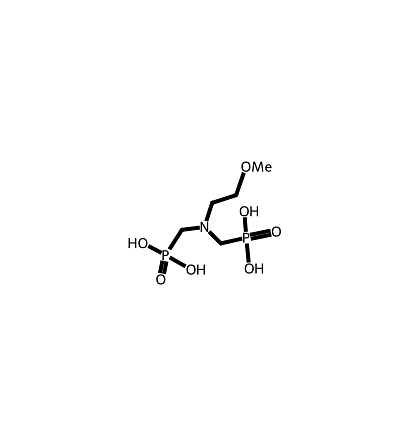 COCCN(CP(=O)(O)O)CP(=O)(O)O